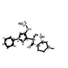 CC(C)N(C(=O)[C@H]1CC[C@H](C)C[C@H]1O)c1nn(-c2ccccc2)cc1OC(=O)O